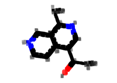 CNC(=O)c1cnc(NC)c2cnccc12